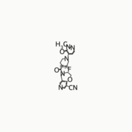 Cn1nccc(N2CC[C@H](C(=O)N3CCOc4c(C#N)cncc4C3)[C@@H](F)C2)c1=O